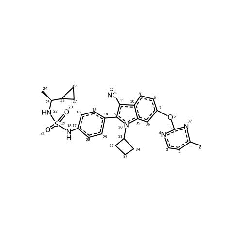 Cc1ccnc(Oc2ccc3c(C#N)c(-c4ccc(NS(=O)(=O)N[C@@H](C)C5CC5)cc4)n(C4CCC4)c3c2)n1